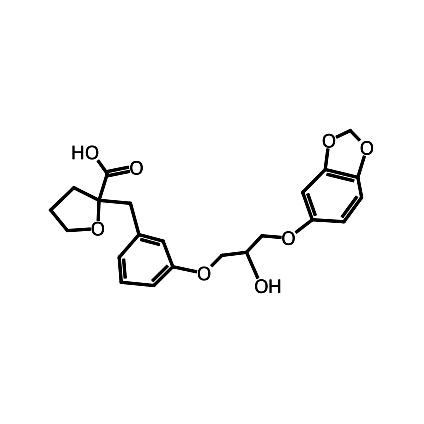 O=C(O)C1(Cc2cccc(OCC(O)COc3ccc4c(c3)OCO4)c2)CCCO1